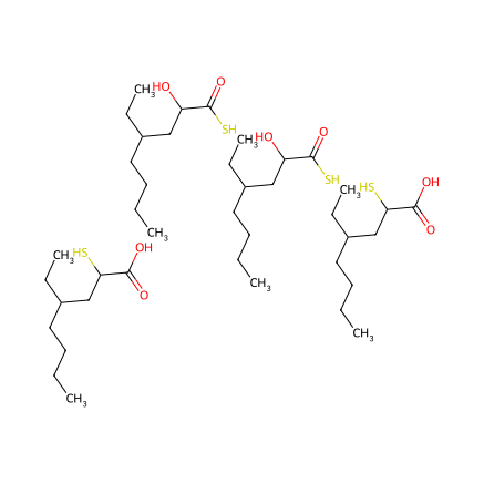 CCCCC(CC)CC(O)C(=O)S.CCCCC(CC)CC(O)C(=O)S.CCCCC(CC)CC(S)C(=O)O.CCCCC(CC)CC(S)C(=O)O